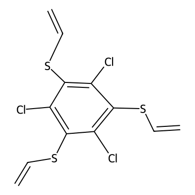 C=CSc1c(Cl)c(SC=C)c(Cl)c(SC=C)c1Cl